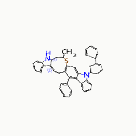 C=C1/C=c2/[nH]c3ccccc3/c2=C/Cc2c(cc3c(c2-c2ccccc2)c2ccccc2n3C2C=CC=C(c3ccccc3)C2)S1